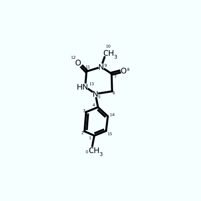 Cc1ccc(N2CC(=O)N(C)C(=O)N2)cc1